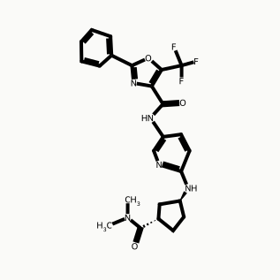 CN(C)C(=O)[C@H]1CC[C@H](Nc2ccc(NC(=O)c3nc(-c4ccccc4)oc3C(F)(F)F)cn2)C1